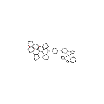 c1ccc(-c2ccccc2-c2ccccc2-c2ccccc2N(c2ccc(-c3ccc4c(c3)C3(c5ccccc5Oc5ccccc53)c3ccccc3-4)cc2)c2cccc(-c3ccc4ccccc4c3)c2)cc1